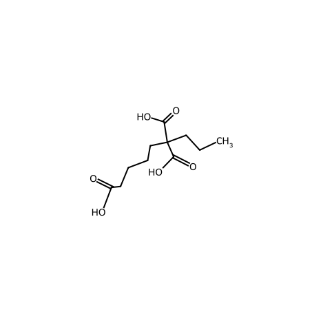 CCCC(CCCCC(=O)O)(C(=O)O)C(=O)O